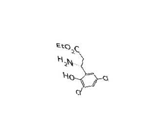 CCOC(=O)C[C@@H](N)c1cc(Cl)cc(Cl)c1O